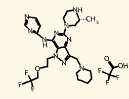 C[C@@H]1CN(c2nc(Nc3ccncn3)c3c(n2)c(CN2CCCCC2)nn3CCOCC(F)(F)F)CCN1.O=C(O)C(F)(F)F